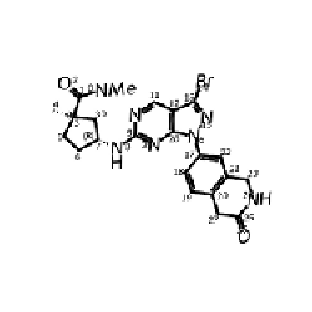 CNC(=O)[C@]1(C)CC[C@@H](Nc2ncc3c(Br)nn(-c4ccc5c(c4)CNC(=O)C5)c3n2)C1